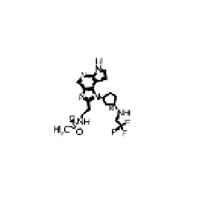 CS(=O)(=O)NCCc1nc2cnc3[nH]ccc3c2n1[C@H]1CC[C@@H](NCC(F)(F)F)C1